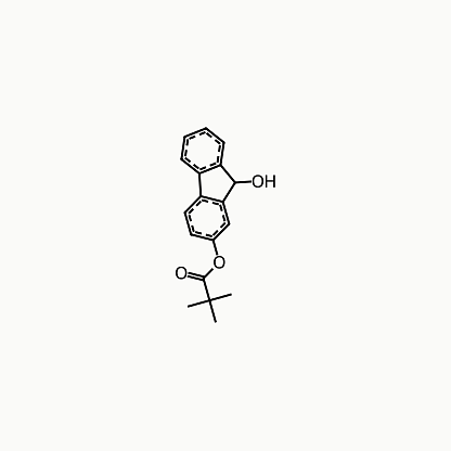 CC(C)(C)C(=O)Oc1ccc2c(c1)C(O)c1ccccc1-2